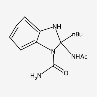 CCCCC1(NC(C)=O)Nc2ccccc2N1C(N)=O